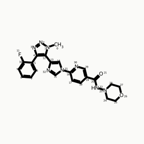 Cn1nnc(-c2ccccc2F)c1-c1cn(-c2ccc(C(=O)NN3CCOCC3)cn2)cn1